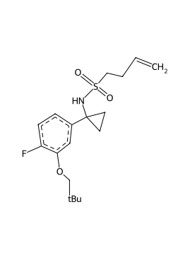 C=CCCS(=O)(=O)NC1(c2ccc(F)c(OCC(C)(C)C)c2)CC1